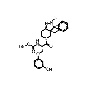 CN1N=C2CCN(C(=O)[C@@H](COc3cccc(C#N)c3)NC(=O)OC(C)(C)C)C[C@@]2(Cc2ccccc2)C1=O